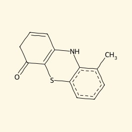 Cc1cccc2c1NC1=C(S2)C(=O)CC=C1